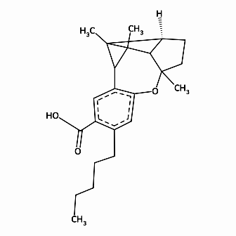 CCCCCc1cc2c(cc1C(=O)O)C1C3(C)C4[C@H](CCC4(C)O2)C13C